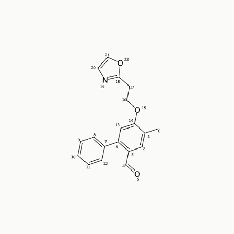 Cc1cc(C=O)c(-c2ccccc2)cc1OCCc1ncco1